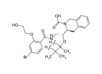 CC(C)(C)[Si](C)(C)O[C@H](CNC(=O)c1ccc(Br)cc1OCCO)[C@@H]1Cc2ccccc2CN1C(=O)O